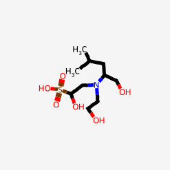 CC(C)CC(CO)N(CCO)CC(O)S(=O)(=O)O